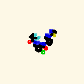 O=C(Nc1cccc2c1cnn2-c1nccs1)c1cc(CNC(=O)C2(C(F)(F)F)CC2)ccc1Cl